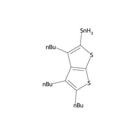 CCCCc1sc2s[c]([SnH3])c(CCCC)c2c1CCCC